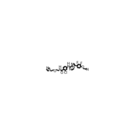 N#CCOc1ccc(-c2cnc3c(Nc4ccc(C(=O)NCCOCCn5ccnc5)c(Cl)c4)nccn23)c(F)c1F